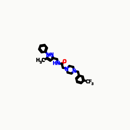 Cc1cc(CNC(=O)CN2CCN(Cc3cccc(C(F)(F)F)c3)CC2)nn1-c1ccccc1